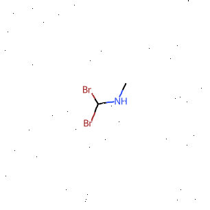 CNC(Br)Br